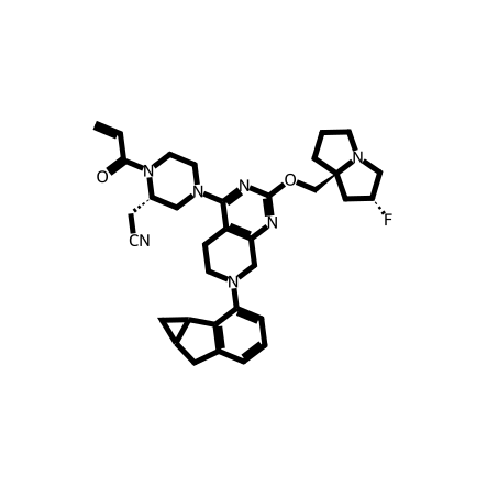 C=CC(=O)N1CCN(c2nc(OC[C@@]34CCCN3C[C@H](F)C4)nc3c2CCN(c2cccc4c2C2CC2C4)C3)C[C@@H]1CC#N